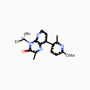 CCCC[C@@H](CC)n1c(=O)c(C)nc2c(-c3ccc(OC)nc3C)ccnc21